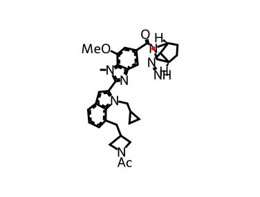 COc1cc(C(=O)N2C[C@H]3CC[C@@H]2[C@]3(C)N=N)cc2nc(-c3cc4cccc(CC5CN(C(C)=O)C5)c4n3CC3CC3)n(C)c12